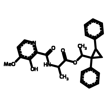 COc1ccnc(C(=O)NC(C)C(=O)OC(C)C2(c3ccccc3)CC2c2ccccc2)c1O